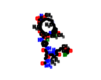 COc1cc2cc(c1Cl)N(C)C(=O)C[C@H](OC(=O)Nc1ccc(NC(=O)[C@H](CCCNC(N)=O)NC(=O)[C@@H](NC(C=O)CCCC(C)(C)OC(C=O)(CBr)CBr)C(C)C)cc1Cl)[C@]1(C)O[C@H]1[C@H](C)[C@@H]1C[C@@](O)(NC(=O)O1)[C@H](OC)/C=C/C=C(\C)C2